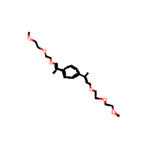 COCCOCCO/C=C(\C)c1ccc(/C(C)=C/COCCOCCOC)cc1